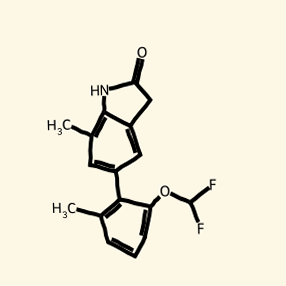 Cc1cc(-c2c(C)cccc2OC(F)F)cc2c1NC(=O)C2